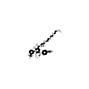 CCCOCCOCCOCCNC(=O)c1cc([S+]([O-])c2ccc(C#N)cc2)c(C)n(-c2cccc(C(F)(F)F)c2)c1=O